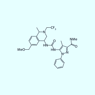 CNC(=O)c1nn(-c2ccccc2)c(NC(=O)NC2CN(CC(F)(F)F)C(C)c3ccc(COC)cc32)c1C